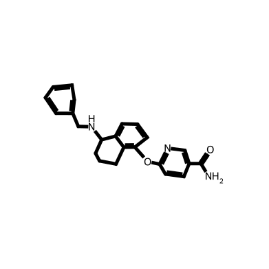 NC(=O)c1ccc(Oc2cccc3c2CCCC3NCc2ccccc2)nc1